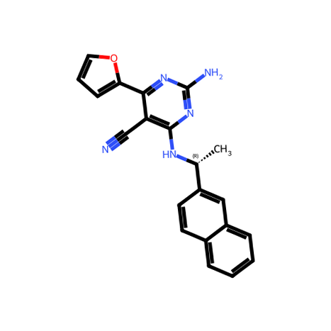 C[C@@H](Nc1nc(N)nc(-c2ccco2)c1C#N)c1ccc2ccccc2c1